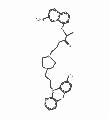 CC(=O)Nc1ccc2cccc(SC(C)C(=O)OCCN3CCN(CCCN4c5ccccc5Sc5ccc(C(F)(F)F)cc54)CC3)c2c1